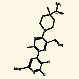 COc1cc(-c2nc(CO)c(N3CCC(C)([C@H](C)N)CC3)nc2C)c(Cl)c(Cl)n1